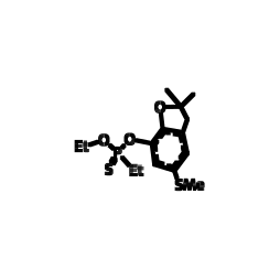 CCOP(=S)(CC)Oc1cc(SC)cc2c1OC(C)(C)C2